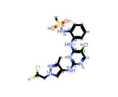 Cc1nn(CC(F)F)cc1Nc1ncc(Cl)c(Nc2ccccc2NS(C)(=O)=O)n1